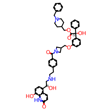 O=C(c1ccc(CCNC[C@H](O)c2ccc(O)c3[nH]c(=O)ccc23)cc1)N1CC(COc2cccc([C@](O)(C(=O)OCC3CCN(Cc4ccccc4)CC3)c3ccccc3)c2)C1